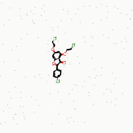 O=C1c2c(OCCCl)cc(OCCCl)cc2OC1c1ccc(Cl)cc1